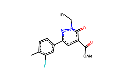 COC(=O)c1cc(-c2ccc(C)c(F)c2)nn(CC(C)C)c1=O